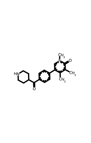 Cc1c(-c2ccc(C(=O)C3CCNCC3)cc2)cn(C)c(=O)c1C